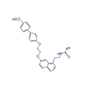 CCCC(=O)NCCc1cccc2ccc(OCCOc3ccc(-c4ccc(C(=O)O)cc4)cc3)cc12